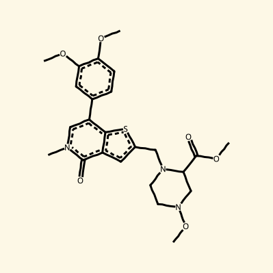 COC(=O)C1CN(OC)CCN1Cc1cc2c(=O)n(C)cc(-c3ccc(OC)c(OC)c3)c2s1